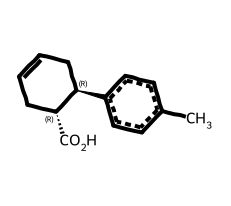 Cc1ccc([C@@H]2CC=CC[C@H]2C(=O)O)cc1